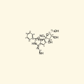 N#C[C@@]1(c2ccc(/C(=N\C=N)NC(=O)c3ccccc3)[nH]2)O[C@H](CO)[C@@H](O)[C@H]1O